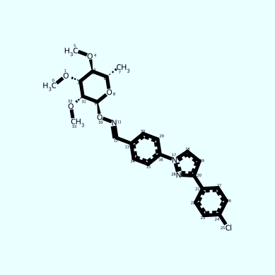 CO[C@@H]1[C@@H](OC)[C@H](C)O[C@@H](O/N=C/c2ccc(-n3ccc(-c4ccc(Cl)cc4)n3)cc2)[C@@H]1OC